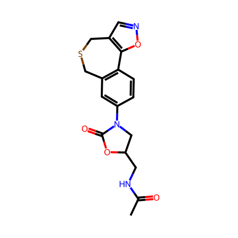 CC(=O)NCC1CN(c2ccc3c(c2)CSCc2cnoc2-3)C(=O)O1